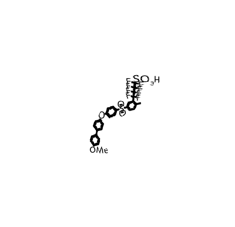 COc1ccc(-c2ccc(Oc3ccc(S(=O)(=O)c4ccc(C)c(C(F)(F)C(F)(F)C(F)(F)C(F)(F)S(=O)(=O)O)c4)cc3)cc2)cc1